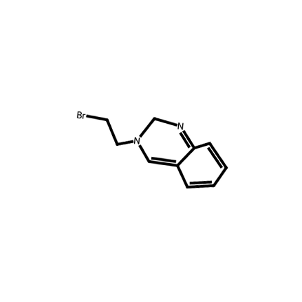 BrCCN1C=c2ccccc2=NC1